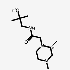 C[C@@H]1CN(C)CCN1CC(=O)NCC(C)(C)O